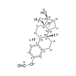 C[C@]12CC[C@@H]3c4ccc(OC=O)cc4CC[C@H]3[C@@H]1CC[C@@H]2O